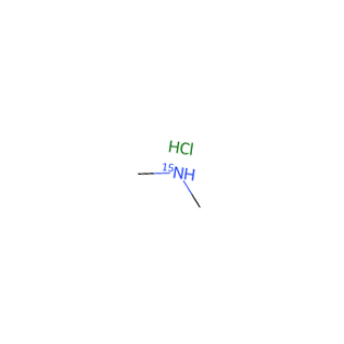 C[15NH]C.Cl